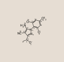 C[S+]([O-])c1nn(-c2c(Cl)cc(C(F)(F)F)cc2Cl)c(N)c1C#N